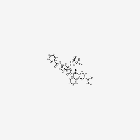 COC(=O)c1ccc(NC(C(=O)O[C@H]2C[N+]3(CC(=O)c4ccccc4)CCC2CC3)c2ccccc2)cc1.O=C([O-])C(F)(F)F